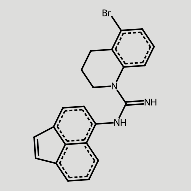 N=C(Nc1ccc2c3c(cccc13)C=C2)N1CCCc2c(Br)cccc21